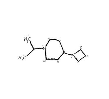 CC(C)N1CCC(N2CCC2)CC1